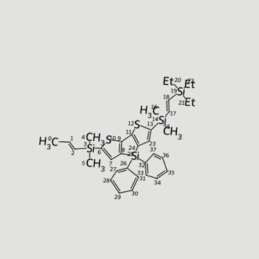 C/C=C/[Si](C)(C)c1cc2c(s1)-c1sc([Si](C)(C)/C=C/[Si](CC)(CC)CC)cc1[Si]2(c1ccccc1)c1ccccc1